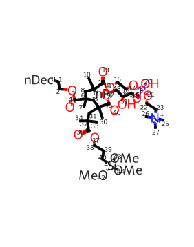 CCCCCCCCCCCCOC(=O)C(C)(CC(C)(CCC)C(=O)OCCOP(=O)(O)OCC[N+](C)(C)C)CC(C)(CC(C)(C)C(=O)OCCC[Si](OC)(OC)OC)C(=O)OCC(C)O